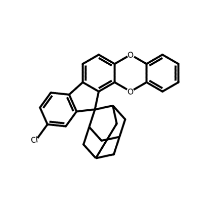 Clc1ccc2c(c1)C1(c3c-2ccc2c3Oc3ccccc3O2)C2CC3CC(C2)CC1C3